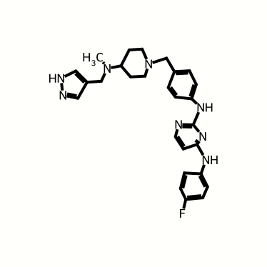 CN(Cc1cn[nH]c1)C1CCN(Cc2ccc(Nc3nccc(Nc4ccc(F)cc4)n3)cc2)CC1